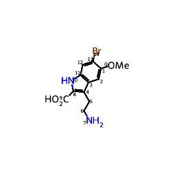 COc1cc2c(CCN)c(C(=O)O)[nH]c2cc1Br